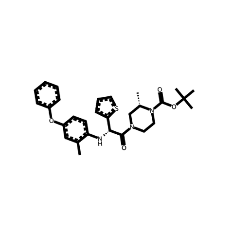 Cc1cc(Oc2ccccc2)ccc1N[C@@H](C(=O)N1CCN(C(=O)OC(C)(C)C)[C@@H](C)C1)c1cccs1